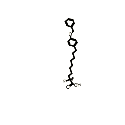 O=C(O)C(F)(F)CCCCCCCCc1ccc(OCc2ccccc2)cc1